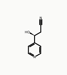 N#CC[C@H](O)c1ccncc1